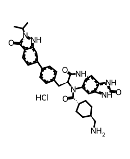 CC(C)n1[nH]c2cc(-c3ccc(C[C@@H](C(N)=O)N(c4ccc5[nH]c(=O)[nH]c5c4)C(=O)[C@H]4CC[C@H](CN)CC4)cc3)ccc2c1=O.Cl